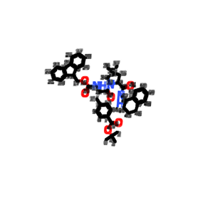 CC(C)(C)OC(=O)c1ccc(C[C@H](NC(=O)OCC2c3ccccc3-c3ccccc32)C(=O)N2C[Si](C)(C)C[C@H]2C(=O)N[C@@H]2CCCc3ccccc32)cc1